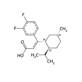 CC(C)[C@@H]1CC[C@@H](C)C[C@H]1C(=CC(=O)O)c1ccc(F)c(F)c1